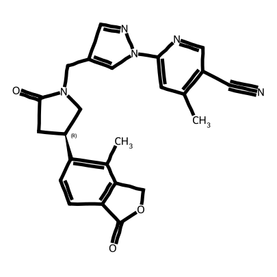 Cc1cc(-n2cc(CN3C[C@@H](c4ccc5c(c4C)COC5=O)CC3=O)cn2)ncc1C#N